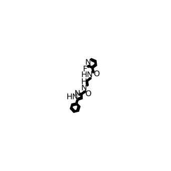 O=C(NCCCNC(=O)c1cccnc1F)c1cc(-c2ccccc2)[nH]n1